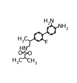 CC(CNS(=O)(=O)C(C)C)c1ccc(-c2ccc(N)c(N)c2)c(F)c1